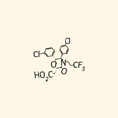 O=C(O)C[C@@H]1O[C@H](c2cccc(Cl)c2)[C@@H](c2ccc(Cl)cc2)N(CCC(F)(F)F)C1=O